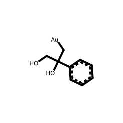 OCC(O)([CH2][Au])c1ccccc1